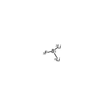 [Li][B]([Li])F